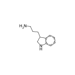 NCCCC1CNc2ccccc21